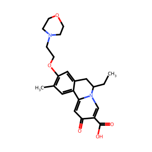 CCC1Cc2cc(OCCN3CCOCC3)c(C)cc2-c2cc(=O)c(C(=O)O)cn21